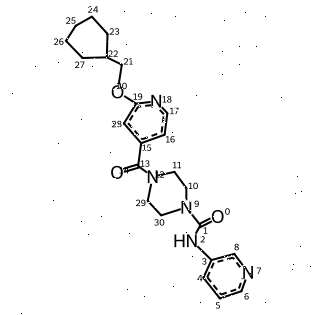 O=C(Nc1cccnc1)N1CCN(C(=O)c2ccnc(OCC3CCCCC3)c2)CC1